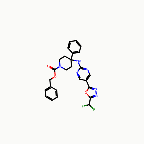 O=C(OCc1ccccc1)N1CCC(Nc2ncc(-c3nnc(C(F)F)o3)cn2)(c2ccccc2)CC1